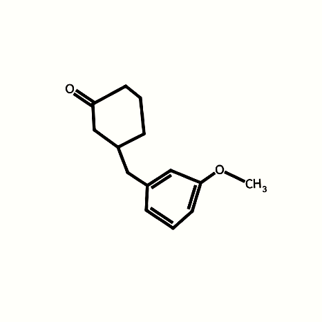 COc1cccc(CC2CCCC(=O)C2)c1